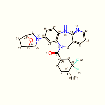 CCC[C@@H]1CC[C@@H](C(=O)N2Cc3cccnc3Nc3ccc(N4CC5CCC(C4)O5)cc32)CC1(F)F